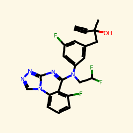 C#CC(C)(O)Cc1cc(F)cc(N(CC(F)F)c2nc3nncn3c3cccc(F)c23)c1